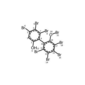 Oc1cc(Br)c(Br)c(Br)c1-c1c(Br)c(Br)c(Br)c(Br)c1OBr